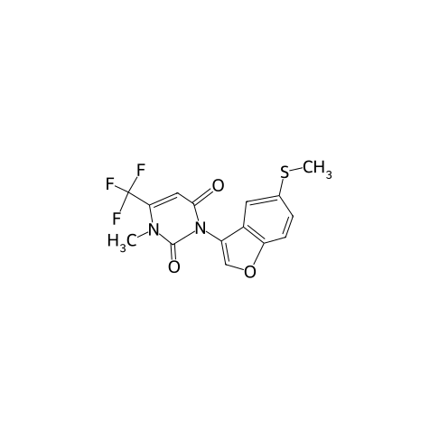 CSc1ccc2occ(-n3c(=O)cc(C(F)(F)F)n(C)c3=O)c2c1